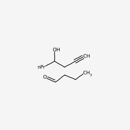 C#CCC(O)CCC.CCCC=O